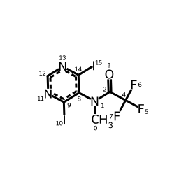 CN(C(=O)C(F)(F)F)c1c(I)ncnc1I